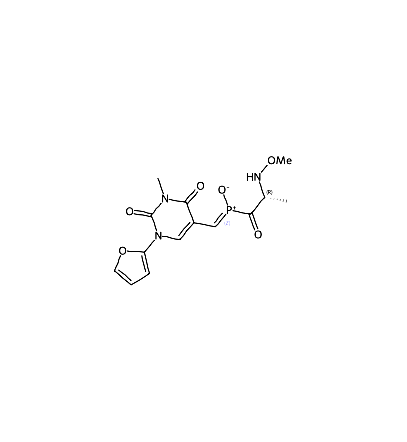 CON[C@H](C)C(=O)/[P+]([O-])=C/c1cn(-c2ccco2)c(=O)n(C)c1=O